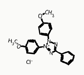 COc1ccc(-n2nc(-c3ccccc3)n[n+]2-c2ccc(OC)cc2)cc1.[Cl-]